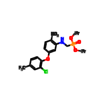 CC(C)OP(=O)(CNc1cc(Oc2ccc(C(F)(F)F)cc2Cl)ccc1[N+](=O)[O-])OC(C)C